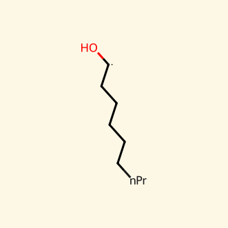 [CH2]CCCCCCC[CH]O